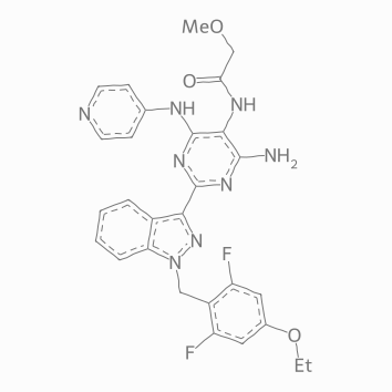 CCOc1cc(F)c(Cn2nc(-c3nc(N)c(NC(=O)COC)c(Nc4ccncc4)n3)c3ccccc32)c(F)c1